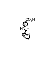 O=C(NC12CCC(C(=O)O)(CC1)CC2)c1cnn2cccnc12